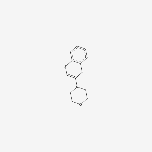 [C]1=C(N2CCOCC2)Cc2ccccc2S1